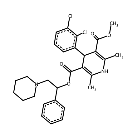 COC(=O)C1=C(C)NC(C)=C(C(=O)OC(CN2CCCCC2)c2ccccc2)C1c1cccc(Cl)c1Cl